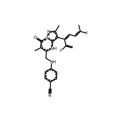 C=C(F)/C(=C\C=C(/C)F)c1c(C)nn2c(=O)c(C)c(CNc3ccc(C#N)cc3)[nH]c12